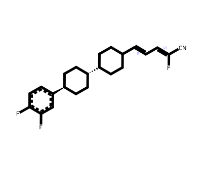 N#C/C(F)=C/C=C/C1CCC([C@H]2CC[C@H](c3ccc(F)c(F)c3)CC2)CC1